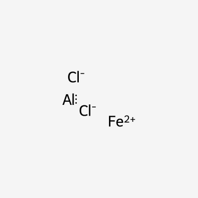 [Al].[Cl-].[Cl-].[Fe+2]